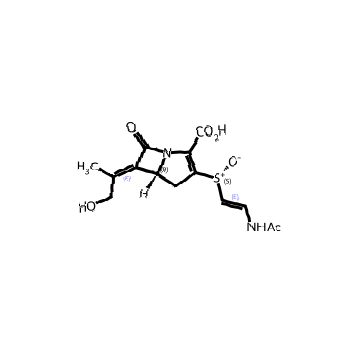 CC(=O)N/C=C/[S@@+]([O-])C1=C(C(=O)O)N2C(=O)/C(=C(\C)CO)[C@H]2C1